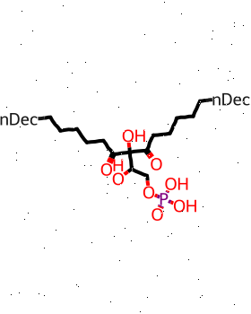 CCCCCCCCCCCCCCCC(=O)C(O)(C(=O)CCCCCCCCCCCCCCC)C(O)COP(=O)(O)O